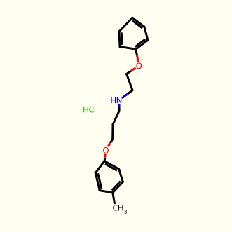 Cc1ccc(OCCCNCCOc2ccccc2)cc1.Cl